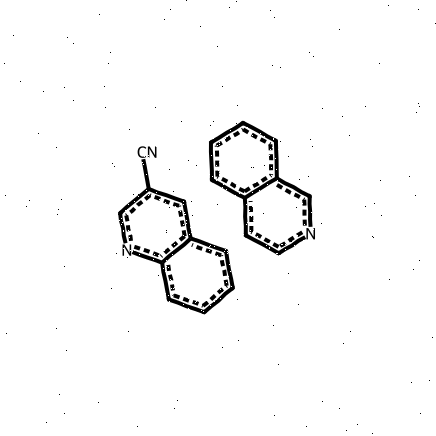 N#Cc1cnc2ccccc2c1.c1ccc2cnccc2c1